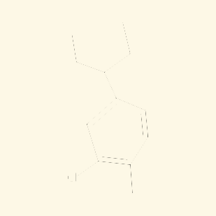 CCC(CC)c1ccc(C)c(Cl)c1